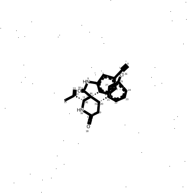 C#Cc1ccc2c(c1)NC(=O)[C@@]21[C@@H](C(=C)C)NC(=O)C[C@H]1c1cccc(Cl)c1